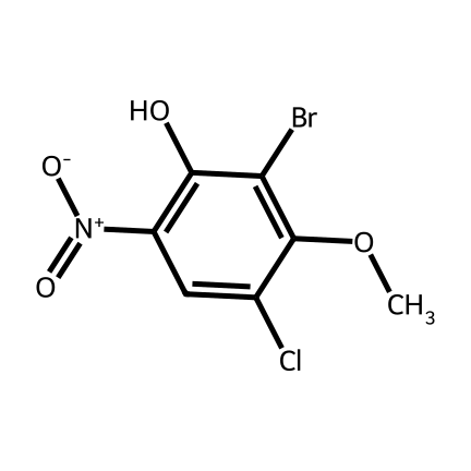 COc1c(Cl)cc([N+](=O)[O-])c(O)c1Br